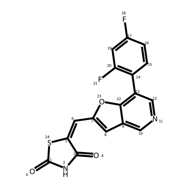 O=C1NC(=O)/C(=C\c2cc3cncc(-c4ccc(F)cc4F)c3o2)S1